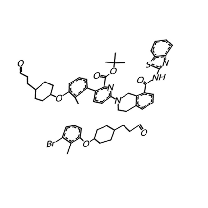 Cc1c(Br)cccc1OC1CCC(CCC=O)CC1.Cc1c(OC2CCC(CCC=O)CC2)cccc1-c1ccc(N2CCc3cccc(C(=O)Nc4nc5ccccc5s4)c3C2)nc1C(=O)OC(C)(C)C